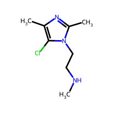 CNCCn1c(C)nc(C)c1Cl